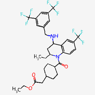 CCOC(=O)CC1CCC(C(=O)N2c3ccc(C(F)(F)F)cc3C(NCc3cc(C(F)(F)F)cc(C(F)(F)F)c3)CC2CC)CC1